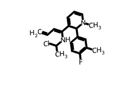 C=C/C=C(\NC(C)Cl)C1=CC=CN(C)C1c1ccc(F)c(C)c1